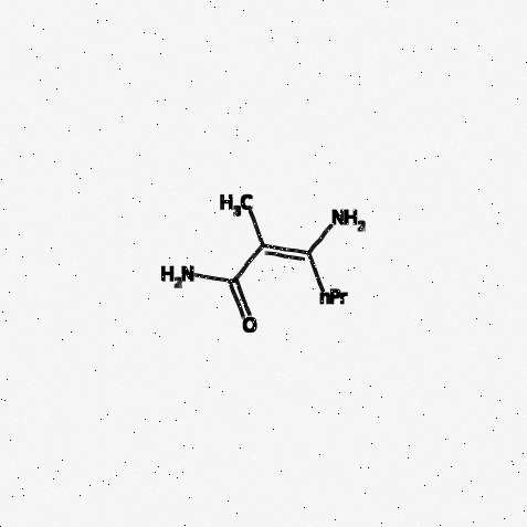 CCC/C(N)=C(/C)C(N)=O